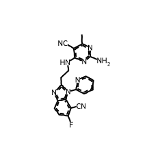 Cc1nc(N)nc(NCCc2nc3ccc(F)c(C#N)c3n2-c2ccccn2)c1C#N